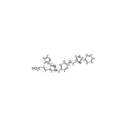 O=C(O)/C=C/c1cn(Cc2ccc(OCc3csc(-c4ccccc4)n3)cc2)nc1-c1cccs1